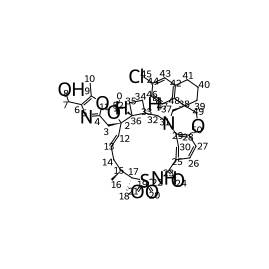 CO[C@@]1(Cc2nc(CO)c(C)o2)/C=C/C[C@H](C)[C@@H](C)S(=O)(=O)NC(=O)c2ccc3c(c2)N(C[C@@H]2CC[C@H]21)C[C@@]1(CCCc2cc(Cl)ccc21)CO3